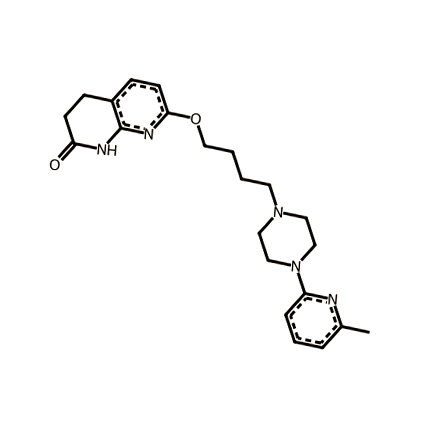 Cc1cccc(N2CCN(CCCCOc3ccc4c(n3)NC(=O)CC4)CC2)n1